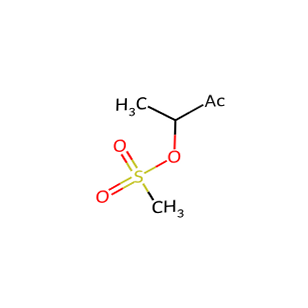 CC(=O)C(C)OS(C)(=O)=O